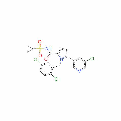 O=C(NS(=O)(=O)C1CC1)c1ccc(-c2cncc(Cl)c2)n1Cc1cc(Cl)ccc1Cl